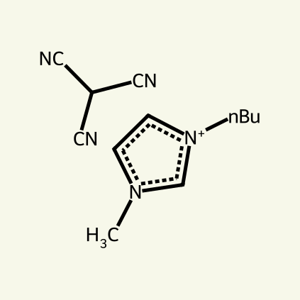 CCCC[n+]1ccn(C)c1.N#CC(C#N)C#N